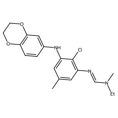 CCN(C)C=Nc1cc(C)cc(Nc2ccc3c(c2)OCCO3)c1Cl